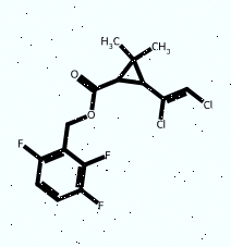 CC1(C)C(C(=O)OCc2c(F)ccc(F)c2F)C1/C(Cl)=C/Cl